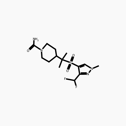 Cn1cc(S(=O)(=O)C(C)(C)C2CCN(C(N)=O)CC2)c(C(F)F)n1